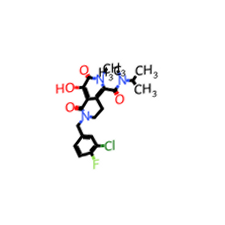 CC(C)N(C)C(=O)c1c2c(c(O)c(=O)n1C)C(=O)N(Cc1ccc(F)c(Cl)c1)CC2